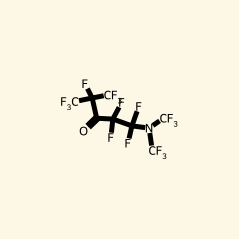 O=C(C(F)(F)C(F)(F)N(C(F)(F)F)C(F)(F)F)C(F)(C(F)(F)F)C(F)(F)F